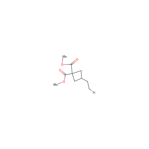 CC(C)(C)OC(=O)C1(C(=O)OC(C)(C)C)CC(CCBr)C1